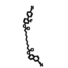 N#Cc1ccc(-c2ccc(OC(=O)CCCCCCCCCC(=O)Oc3ccc4cc(C#N)ccc4c3)cc2F)cc1